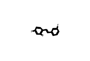 Fc1cccc(C=Cc2ccc(F)cc2F)c1